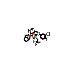 Cc1cc(N2CC3CCC(C2)C3Nc2nc(Oc3ccc(F)c(Cl)c3)n(CC(F)(F)F)n2)ncn1